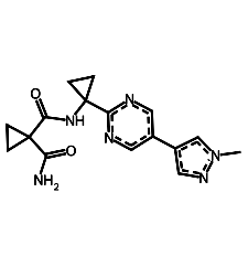 Cn1cc(-c2cnc(C3(NC(=O)C4(C(N)=O)CC4)CC3)nc2)cn1